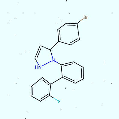 Fc1ccccc1-c1ccccc1N1NC=CC1c1ccc(Br)cc1